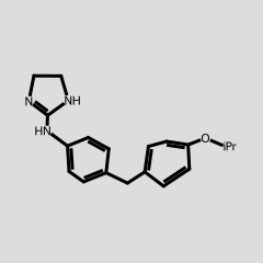 CC(C)Oc1ccc(Cc2ccc(NC3=NCCN3)cc2)cc1